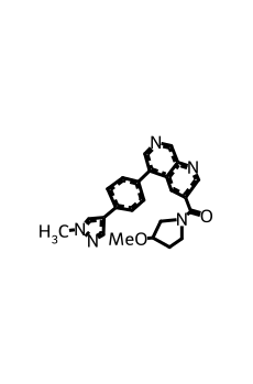 COC1CCN(C(=O)c2cnc3cncc(-c4ccc(-c5cnn(C)c5)cc4)c3c2)C1